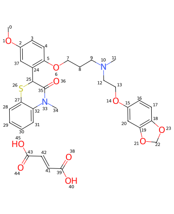 COc1ccc(OCCCN(C)CCOc2ccc3c(c2)OCO3)c(C2Sc3ccccc3N(C)C2=O)c1.O=C(O)/C=C/C(=O)O